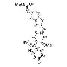 COC(=O)Nc1ccc2c(c1)CC(CN1CC[C@@H](n3c(C(C)C)nc4cc(C)ccc43)[C@H](OC)C1)C2